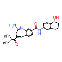 CCCC(CCC)C(=O)C1=Cc2ccc(C(=O)Nc3ccc4c(c3)CCCC4O)cc2N=C(N)C1